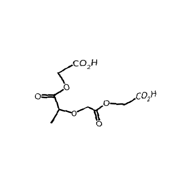 CC(OCC(=O)OCC(=O)O)C(=O)OCC(=O)O